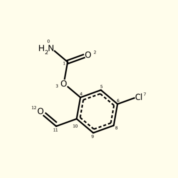 NC(=O)Oc1cc(Cl)ccc1C=O